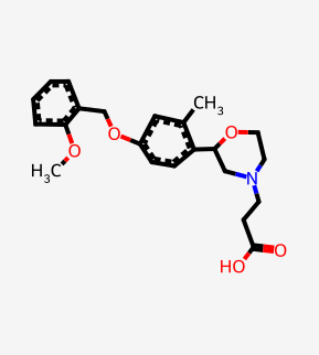 COc1ccccc1COc1ccc(C2CN(CCC(=O)O)CCO2)c(C)c1